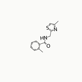 Cc1csc(CNC(=O)c2ccccc2C)n1